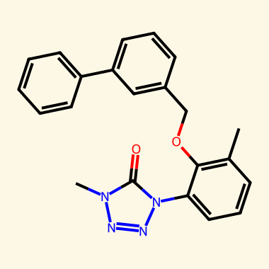 Cc1cccc(-n2nnn(C)c2=O)c1OCc1cccc(-c2ccccc2)c1